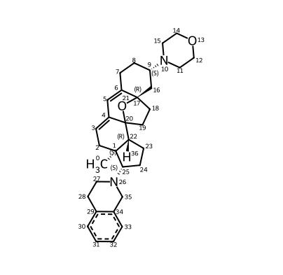 C[C@]12CC=C3C=C4CC[C@H](N5CCOCC5)C[C@]45CCC3(O5)[C@@H]1CC[C@@H]2N1CCc2ccccc2C1